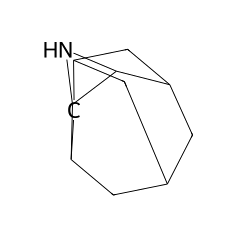 C1C2CC3CC1CC(C2)C1NC31